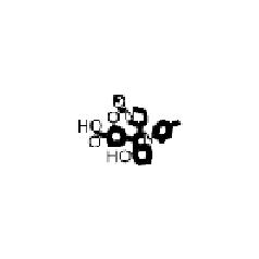 COC(=O)N1CCCC(c2c(-c3ccc(C(=O)O)cc3)c3c(O)cccc3n2-c2ccc(C)cc2)C1